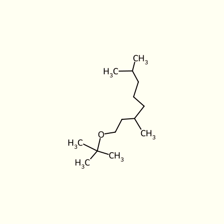 CC(C)CCCC(C)CCOC(C)(C)C